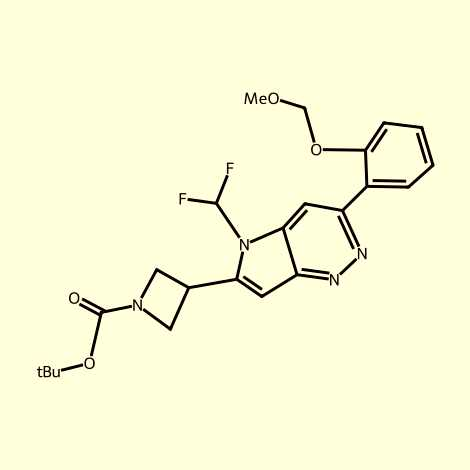 COCOc1ccccc1-c1cc2c(cc(C3CN(C(=O)OC(C)(C)C)C3)n2C(F)F)nn1